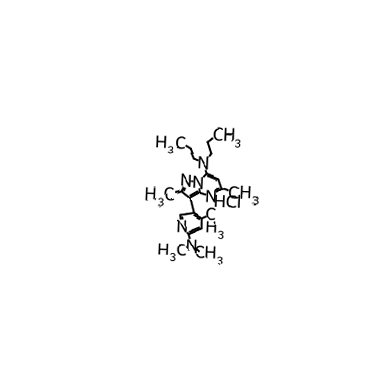 CCCN(CCC)c1cc(C)nc2c(-c3cnc(N(C)C)cc3C)c(C)nn12.Cl